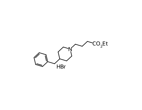 Br.CCOC(=O)CCCN1CCC(Cc2ccccc2)CC1